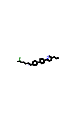 C=CCc1ccc(-c2ccc(-c3ccc(/C=C/CCCC(C)F)cc3)cc2)nc1